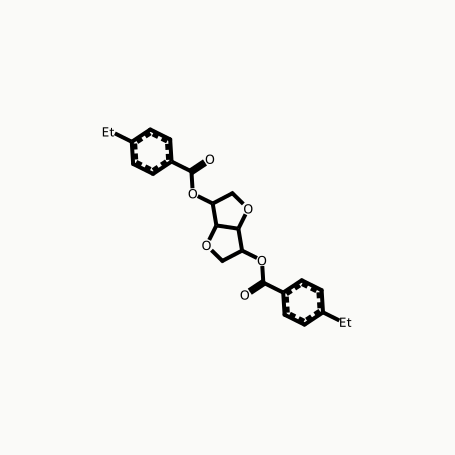 CCc1ccc(C(=O)OC2COC3C(OC(=O)c4ccc(CC)cc4)COC23)cc1